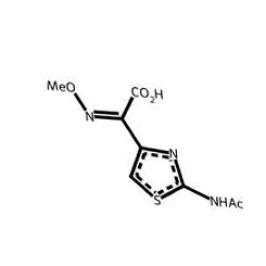 CON=C(C(=O)O)c1csc(NC(C)=O)n1